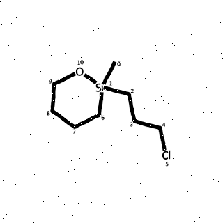 C[Si]1(CCCCl)CCCCO1